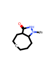 CC(C)N1NC(=O)C2CCCCCCC21